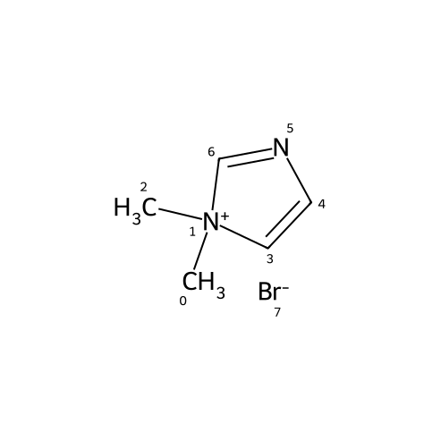 C[N+]1(C)C=CN=C1.[Br-]